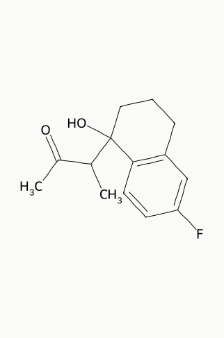 CC(=O)C(C)C1(O)CCCc2cc(F)ccc21